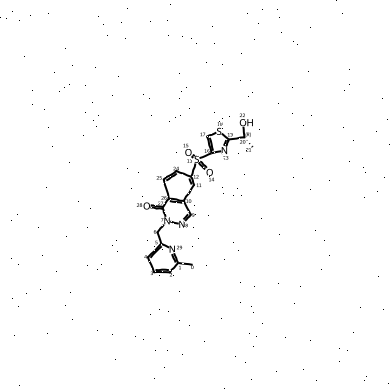 Cc1cccc(Cn2ncc3cc(S(=O)(=O)c4csc([C@@H](C)O)n4)ccc3c2=O)n1